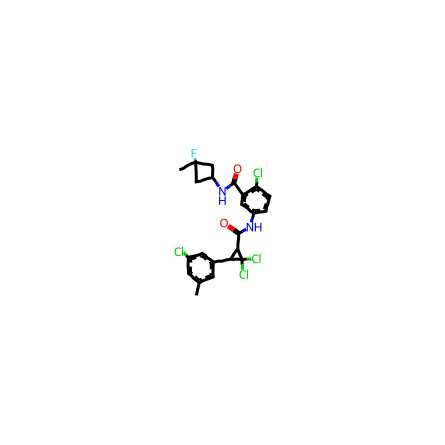 Cc1cc(Cl)cc(C2C(C(=O)Nc3ccc(Cl)c(C(=O)NC4CC(C)(F)C4)c3)C2(Cl)Cl)c1